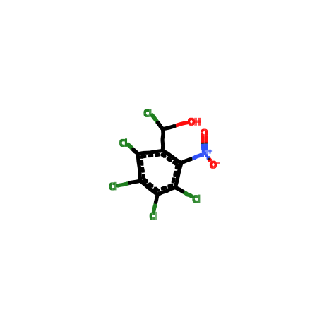 O=[N+]([O-])c1c(Cl)c(Cl)c(Cl)c(Cl)c1C(O)Cl